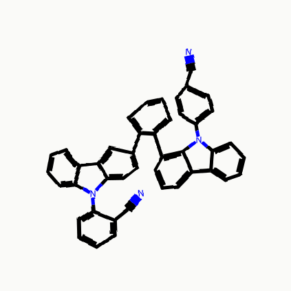 N#Cc1ccc(-n2c3ccccc3c3cccc(-c4ccccc4-c4ccc5c(c4)c4ccccc4n5-c4ccccc4C#N)c32)cc1